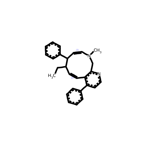 CCC1/C=C\c2c(-c3ccccc3)ccnc2CN(C)/C=C\C1c1ccccc1